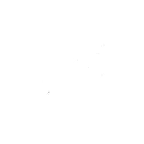 C[C@@H](Cc1ccc(OC(C(=O)OC(C)(C)C)C(=O)OC(C)(C)C)cc1)C(=O)O